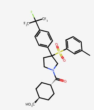 Cc1cccc(S(=O)(=O)C2(c3ccc(C(F)(C(F)(F)F)C(F)(F)F)cc3)CCN(C(=O)[C@H]3CC[C@H](C(=O)O)CC3)C2)c1